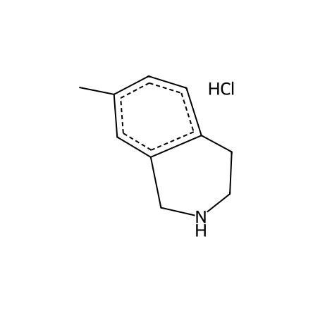 Cc1ccc2c(c1)CNCC2.Cl